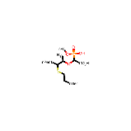 CCCCCCCCCCCCSC(CCCCC)C(C)OC(C(=O)O)P(=O)(O)OCCC